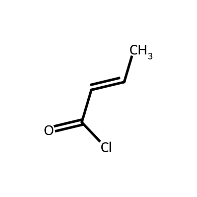 CC=CC(=O)Cl